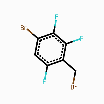 Fc1cc(Br)c(F)c(F)c1CBr